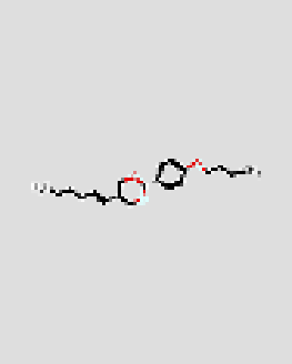 CCCCC=C[C@H]1CO[C@H](c2ccc(OCCCC)cc2)OC1